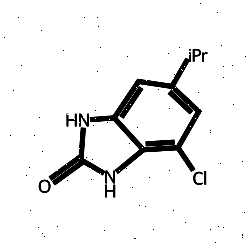 CC(C)c1cc(Cl)c2[nH]c(=O)[nH]c2c1